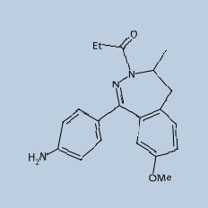 CCC(=O)N1N=C(c2ccc(N)cc2)c2cc(OC)ccc2CC1C